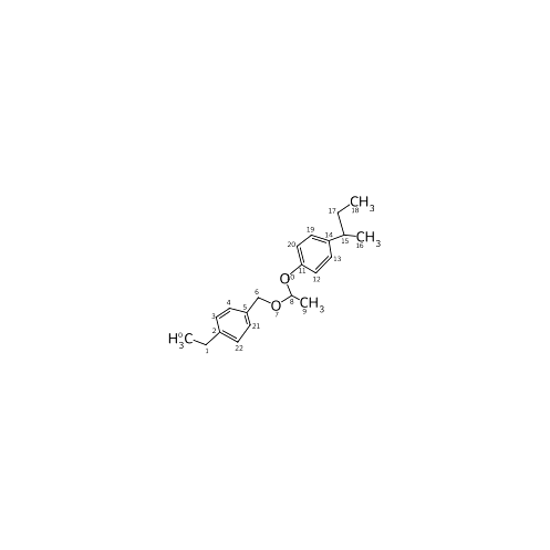 CCc1ccc(COC(C)Oc2ccc(C(C)CC)cc2)cc1